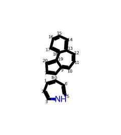 C1=CC=CNC=C1.c1cc2cccc3ccccc3c-2c1